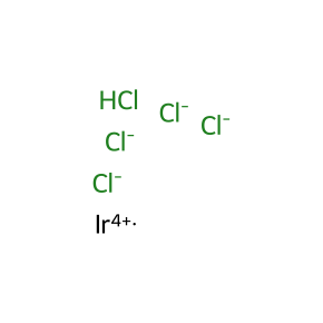 Cl.[Cl-].[Cl-].[Cl-].[Cl-].[Ir+4]